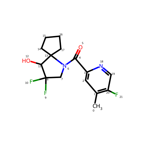 Cc1cc(C(=O)N2CC(F)(F)C(O)C23CCCC3)ncc1F